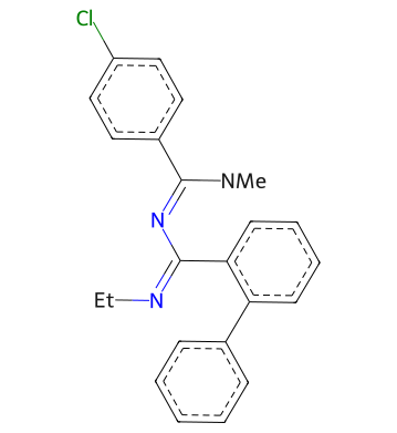 CC/N=C(\N=C(/NC)c1ccc(Cl)cc1)c1ccccc1-c1ccccc1